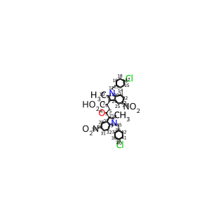 Cc1c(C(=O)CC(C(=O)O)c2c(C)n(Cc3ccc(Cl)cc3)c3ccc([N+](=O)[O-])cc23)c2cc([N+](=O)[O-])ccc2n1Cc1ccc(Cl)cc1